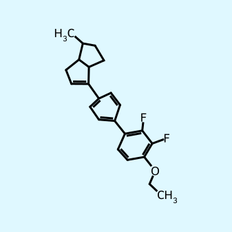 CCOc1ccc(-c2ccc(C3=CCC4C(C)CCC34)cc2)c(F)c1F